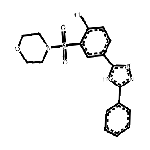 O=S(=O)(c1cc(-c2nnc(-c3ccccc3)[nH]2)ccc1Cl)N1CCOCC1